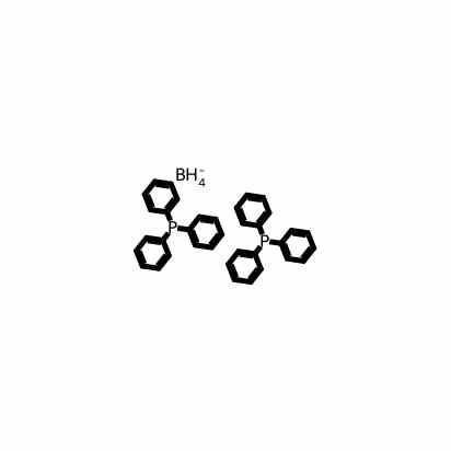 [BH4-].c1ccc(P(c2ccccc2)c2ccccc2)cc1.c1ccc(P(c2ccccc2)c2ccccc2)cc1